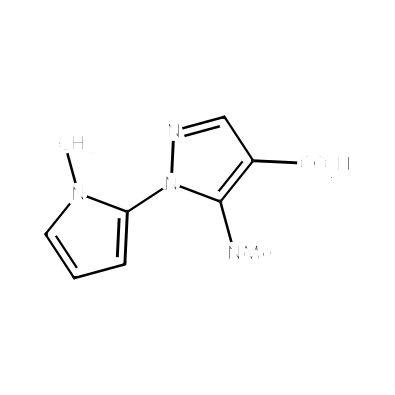 CNc1c(C(=O)O)cnn1-c1cccn1C